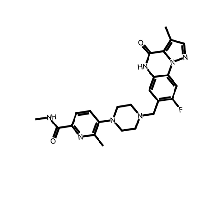 CNC(=O)c1ccc(N2CCN(Cc3cc4[nH]c(=O)c5c(C)cnn5c4cc3F)CC2)c(C)n1